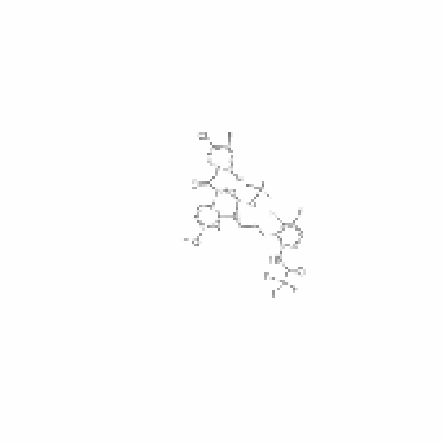 COc1ccc(NC(=O)c2cc(Cl)c(F)cc2Br)c(N(CCCc2c(NC(=O)C(F)(F)F)ccc(F)c2F)C(=O)OC(C)(C)C)n1